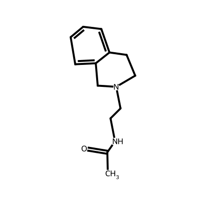 CC(=O)NCCN1CCc2ccccc2C1